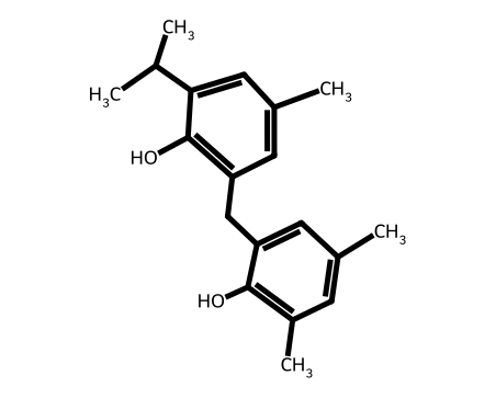 Cc1cc(C)c(O)c(Cc2cc(C)cc(C(C)C)c2O)c1